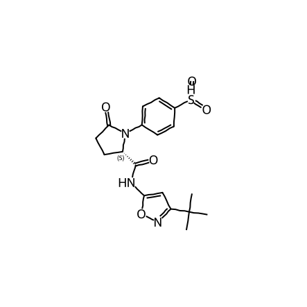 CC(C)(C)c1cc(NC(=O)[C@@H]2CCC(=O)N2c2ccc([SH](=O)=O)cc2)on1